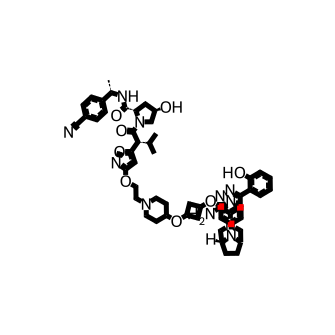 CC(C)[C@@H](C(=O)N1C[C@H](O)C[C@H]1C(=O)N[C@@H](C)c1ccc(C#N)cc1)c1cc(OCCN2CCC(OC3CC(Oc4cc(N5C6CC[C@@H]5CN(c5cc(-c7ccccc7O)nnc5N)C6)ccn4)C3)CC2)no1